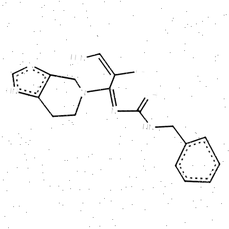 C=C(/N=C(\C(=C/N)C(F)(F)F)N1CCc2[nH]cnc2C1)NCc1ccccc1